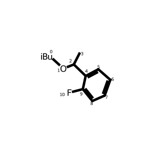 CCC(C)OC(C)c1ccccc1F